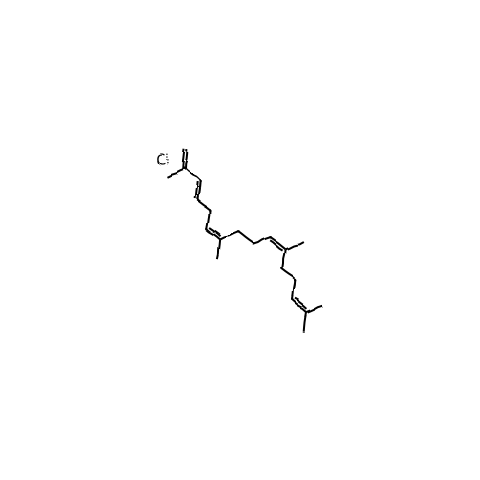 C=C(C)C=CCC=C(C)CCC=C(C)CCC=C(C)C.[C]